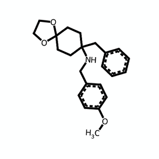 COc1ccc(CNC2(Cc3ccccc3)CCC3(CC2)OCCO3)cc1